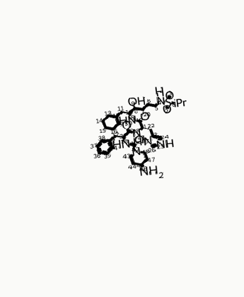 CC(C)S(=O)(=O)NCCC[C@H](O)[C@H](CC1CCCCC1)NC(=O)[C@H](Cc1c[nH]cn1)NC(=O)[C@H](Cc1ccccc1)NC(=O)N1CCC(N)CC1